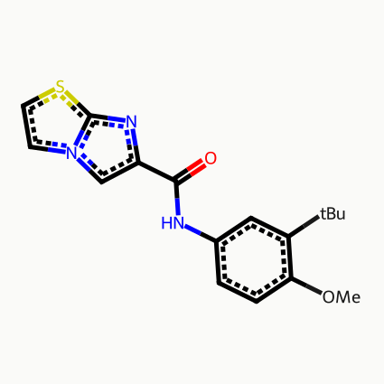 COc1ccc(NC(=O)c2cn3ccsc3n2)cc1C(C)(C)C